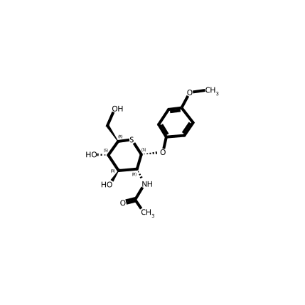 COc1ccc(O[C@H]2S[C@H](CO)[C@@H](O)[C@H](O)[C@H]2NC(C)=O)cc1